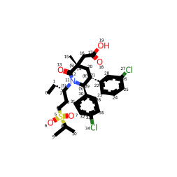 CC[C@@H](CCS(=O)(=O)C(C)C)N1C(=O)[C@](C)(CC(=O)O)C[C@H](c2cccc(Cl)c2)[C@H]1c1ccc(Cl)cc1